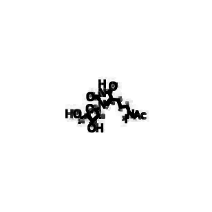 CC(=O)N(I)CCCc1cn([C@H]2C[C@H](O)[C@@H](CO)O2)c(=O)[nH]c1=O